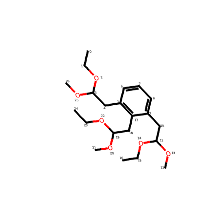 CCOC(Cc1c[c]cc(CC(OC)OCC)c1CC(OC)OCC)OC